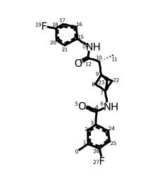 Cc1cc(C(=O)NC23CC([C@@H](C)C(=O)Nc4ccc(F)cc4)(C2)C3)ccc1F